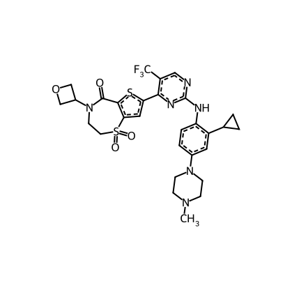 CN1CCN(c2ccc(Nc3ncc(C(F)(F)F)c(-c4cc5c(s4)C(=O)N(C4COC4)CCS5(=O)=O)n3)c(C3CC3)c2)CC1